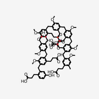 COc1cc(C)c(CCC(=O)O)cc1Cc1cc(OC)c(Cc2cc(OC)c(Cc3cc(OC)c(Cc4cc(OC)c(Cc5cc(OC)c(Cc6cc(OC)c(Cc7cc(O)ccc7CCC(=O)O)cc6CCC(=O)O)cc5CCC(=O)O)cc4CCC(=O)O)cc3CCC(=O)O)cc2CCC(=O)O)cc1CCC(=O)O